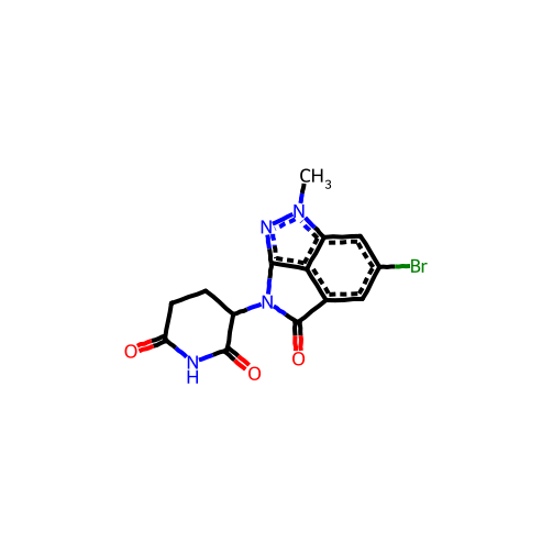 Cn1nc2c3c(cc(Br)cc31)C(=O)N2C1CCC(=O)NC1=O